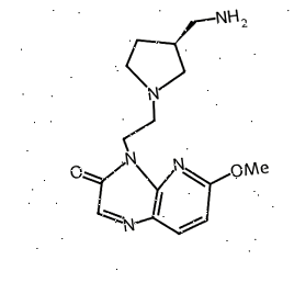 COc1ccc2ncc(=O)n(CCN3CC[C@@H](CN)C3)c2n1